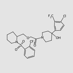 O=C(COCC1CCCCN1S(=O)(=O)c1ccccc1C(F)(F)F)N1CCC(O)(c2ccc(Cl)c(C(F)(F)F)c2)CC1